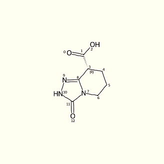 O=C(O)[C@@H]1CCCn2c1n[nH]c2=O